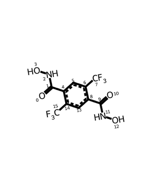 O=C(NO)c1cc(C(F)(F)F)c(C(=O)NO)cc1C(F)(F)F